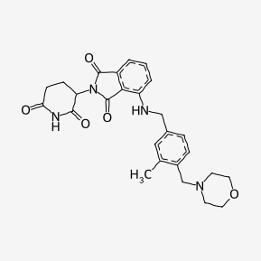 Cc1cc(CNc2cccc3c2C(=O)N(C2CCC(=O)NC2=O)C3=O)ccc1CN1CCOCC1